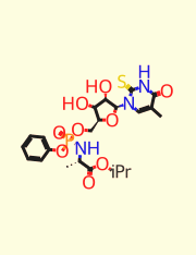 Cc1cn([C@H]2O[C@@H](COP(=O)(N[C@@H](C)C(=O)OC(C)C)Oc3ccccc3)C(O)[C@H]2O)c(=S)[nH]c1=O